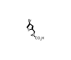 CN(Cc1cc(Br)cs1)C(=O)O